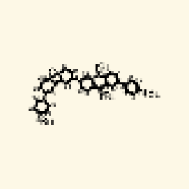 CC(C)(C)c1ccc(-c2ccc3c(C(C)(C)C)c4cc(-c5ccc6oc7ccc(-c8ccc(C(C)(C)C)cc8)cc7c6c5)ccc4c(C(C)(C)C)c3c2)cc1